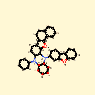 c1ccc(N(c2ccccc2)c2ccc3c(oc4c5ccccc5ccc34)c2N(c2ccccc2)c2ccc3c(c2)oc2ccccc23)cc1